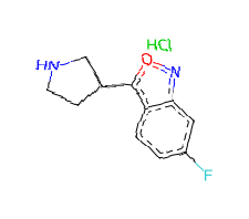 Cl.Fc1ccc2c(C3CCNC3)onc2c1